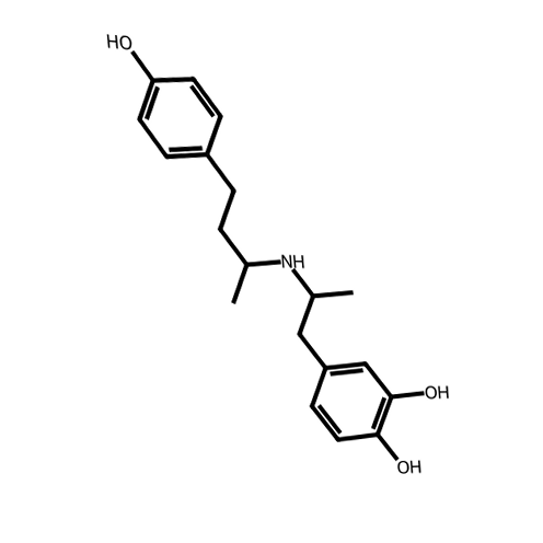 CC(CCc1ccc(O)cc1)NC(C)Cc1ccc(O)c(O)c1